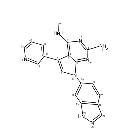 CNc1nc(N)nc2c1c(-c1cccnc1)cn2-c1ccc2cn[nH]c2c1